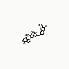 Nc1nc2cc(CC3CC4(CO3)CC(n3ccc5c(Cl)ncnc53)C(O)C4O)ccc2cc1Br